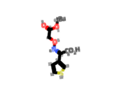 CC(C)(C)OC(=O)CON=C(C(=O)O)c1ccsc1